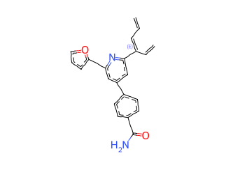 C=C/C=C(\C=C)c1cc(-c2ccc(C(N)=O)cc2)cc(-c2ccco2)n1